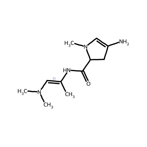 C/C(=C\N(C)C)NC(=O)C1CC(N)=CN1C